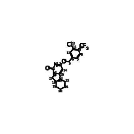 O=c1nc(OCc2ccc(C(F)(F)F)c(Cl)c2)cc2n1CC1CCCCN21